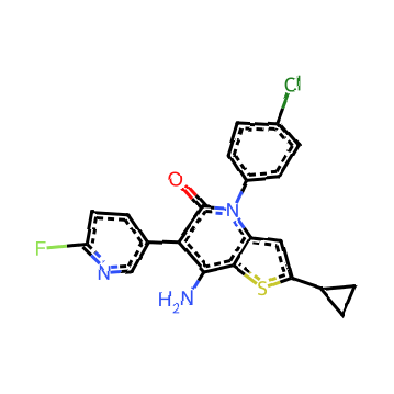 Nc1c(-c2ccc(F)nc2)c(=O)n(-c2ccc(Cl)cc2)c2cc(C3CC3)sc12